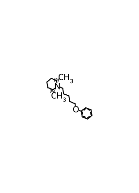 C[C@@H]1CCC[C@H](C)N1CCCCCOc1ccccc1